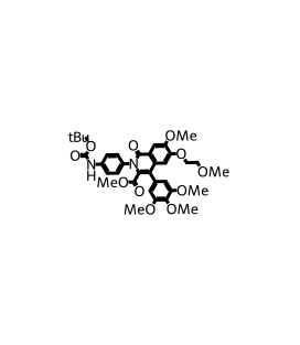 COCCOc1cc2c(-c3cc(OC)c(OC)c(OC)c3)c(C(=O)OC)n(-c3ccc(NC(=O)OC(C)(C)C)cc3)c(=O)c2cc1OC